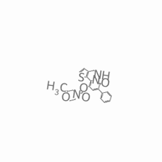 CC1CN(C(=O)Oc2cc(-c3ccccc3)c(=O)n3c2-c2sccc2CN3)CCO1